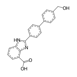 O=C(O)c1cccc2[nH]c(-c3ccc(-c4ccc(CO)cc4)cc3)nc12